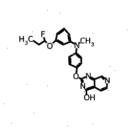 CCC(F)Oc1cccc(N(C)c2ccc(Oc3nc(O)c4ccncc4n3)cc2)c1